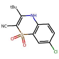 CC(C)(C)C1=C(C#N)S(=O)(=O)c2cc(Cl)ccc2N1